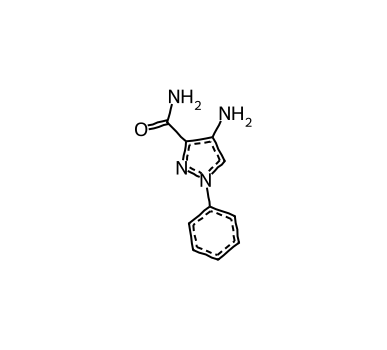 NC(=O)c1nn(-c2ccccc2)cc1N